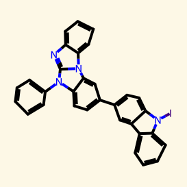 In1c2ccccc2c2cc(-c3ccc4c(c3)n3c5ccccc5nc3n4-c3ccccc3)ccc21